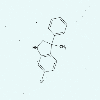 CC1(c2ccccc2)CNc2cc(Br)ccc21